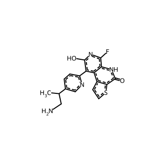 CC(CN)c1ccc(-c2c(O)nc(F)c3[nH]c(=O)c4sccc4c23)nc1